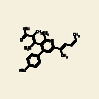 C/C=C\C=C(/C)c1cc(-c2ccc(CCCC)cc2)c(/C(N)=C(\C)C(=O)CCCC)c(C)n1